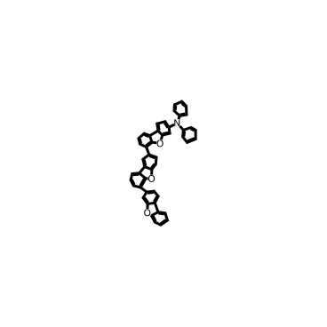 c1ccc(N(c2ccccc2)c2ccc3c(c2)oc2c(-c4ccc5oc6c(-c7ccc8c(c7)oc7ccccc78)cccc6c5c4)cccc23)cc1